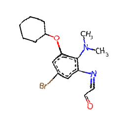 CN(C)c1c(/N=C\C=O)cc(Br)cc1OC1CCCCC1